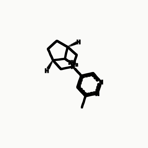 Cc1cc(N2C[C@H]3CC[C@@H](C2)C3N)cnn1